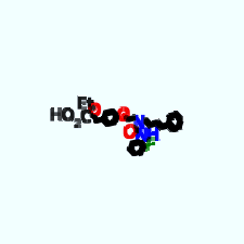 CCOC(Cc1ccc(OCCN(CCCCc2ccccc2)C(=O)Nc2ccccc2F)cc1)C(=O)O